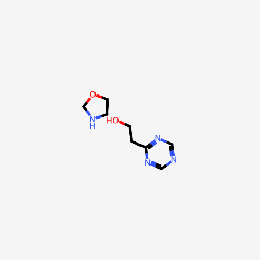 C1COCN1.OCCc1ncncn1